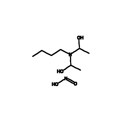 CCCCN(C(C)O)C(C)O.O=NO